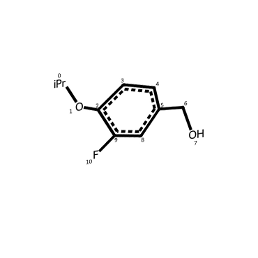 CC(C)Oc1ccc(CO)cc1F